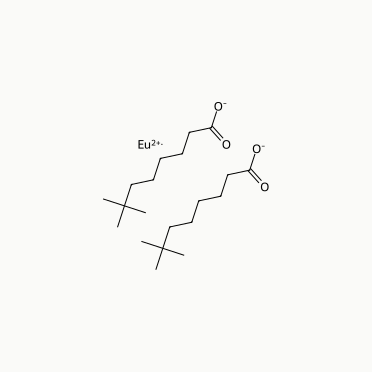 CC(C)(C)CCCCCC(=O)[O-].CC(C)(C)CCCCCC(=O)[O-].[Eu+2]